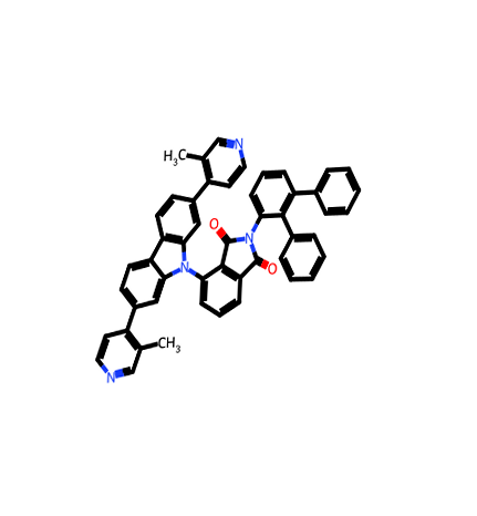 Cc1cnccc1-c1ccc2c3ccc(-c4ccncc4C)cc3n(-c3cccc4c3C(=O)N(c3cccc(-c5ccccc5)c3-c3ccccc3)C4=O)c2c1